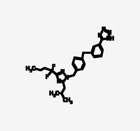 CCCC(F)(F)c1nc(CC(C)C)n(Cc2ccc(Cc3cccc(-c4nnn[nH]4)c3)cc2)n1